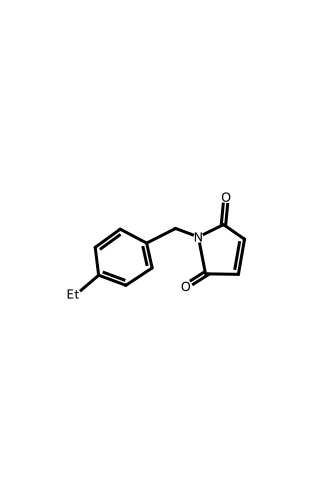 CCc1ccc(CN2C(=O)C=CC2=O)cc1